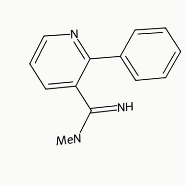 CNC(=N)c1cccnc1-c1ccccc1